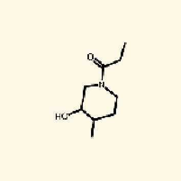 CCC(=O)N1CCC(C)C(O)C1